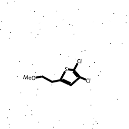 COCCc1cc(Cl)c(Cl)s1